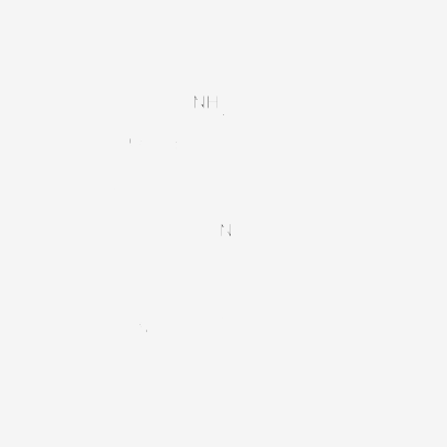 CC(C)C[C@](C(N)=O)(C(C)C)N(c1ccccc1)c1ccsc1